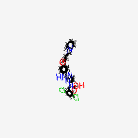 O=C(O)N(Cc1cc(Cl)ccc1Cl)c1ccnc(Nc2ccc(OCCCN3CCCCC3)cc2)n1